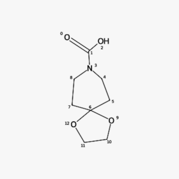 O=C(O)N1CCC2(CC1)OCCO2